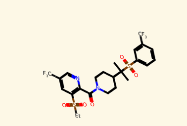 CCS(=O)(=O)c1cc(C(F)(F)F)cnc1C(=O)N1CCC(C(C)(C)S(=O)(=O)c2cccc(C(F)(F)F)c2)CC1